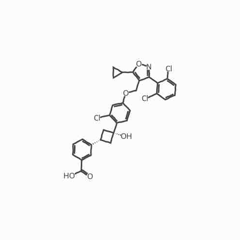 O=C(O)c1cccc([C@H]2C[C@](O)(c3ccc(OCc4c(-c5c(Cl)cccc5Cl)noc4C4CC4)cc3Cl)C2)c1